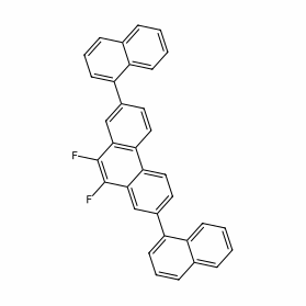 Fc1c(F)c2cc(-c3cccc4ccccc34)ccc2c2ccc(-c3cccc4ccccc34)cc12